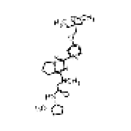 CCC(O)(CC)COc1ccnc(-c2nc3c(c(N(C)CC(=O)N[C@@H]4CCC[C@@H]4O)n2)CCC3)c1